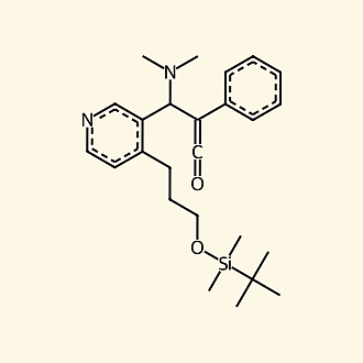 CN(C)C(C(=C=O)c1ccccc1)c1cnccc1CCCO[Si](C)(C)C(C)(C)C